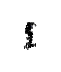 CCC(C)C/C(C)=C\c1cn(-c2ccc(CNCCCNC(=N)N)cc2)c(=O)nc1C